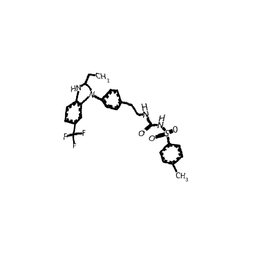 CCC1Nc2ccc(C(F)(F)F)cc2N1c1ccc(CCNC(=O)NS(=O)(=O)c2ccc(C)cc2)cc1